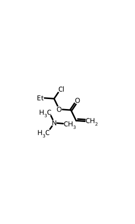 C=CC(=O)OC(Cl)CC.CN(C)C